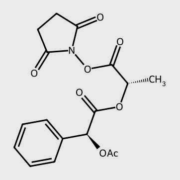 CC(=O)O[C@H](C(=O)O[C@@H](C)C(=O)ON1C(=O)CCC1=O)c1ccccc1